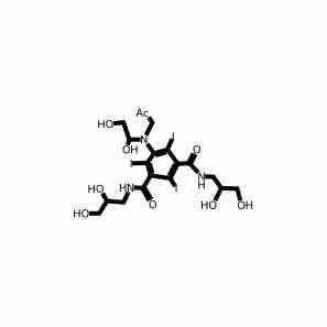 CC(=O)CN(c1c(I)c(C(=O)NCC(O)CO)c(I)c(C(=O)NCC(O)CO)c1I)C(O)CO